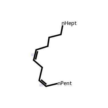 CCCCC/C=C\C/C=C\CCCCCCCCCC